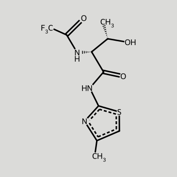 Cc1csc(NC(=O)[C@H](NC(=O)C(F)(F)F)[C@H](C)O)n1